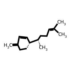 C=C1C=C[C@H]([C@@H](C)CCC=C(C)C)CC1